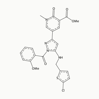 COC(=O)c1cc(-c2cc(NCc3ccc(Cl)s3)n(C(=O)c3ccccc3OC)n2)cn(C)c1=O